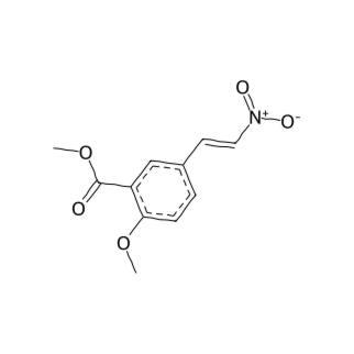 COC(=O)c1cc(C=C[N+](=O)[O-])ccc1OC